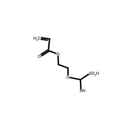 C=CC(=O)OCCOC(CCC)S(=O)(=O)O